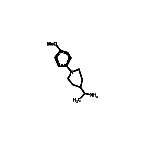 COc1ccc(N2CCC(C(C)N)CC2)cc1